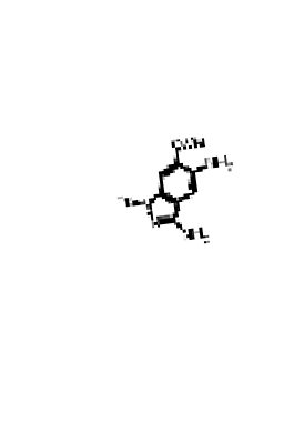 CCn1nc(N)c2cc(N)c(OC)cc21